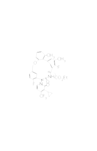 CCOC(=O)C[C@@H]1NC(=O)[C@@H](n2ccc(C(F)(F)F)c(C3CC3)c2=O)c2cc(ccc2F)COc2cccc(C)c2-c2cc(C)c(F)c1c2